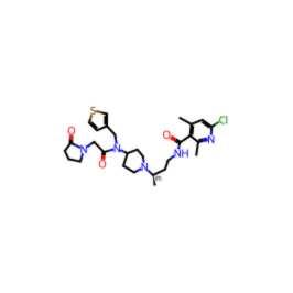 Cc1cc(Cl)nc(C)c1C(=O)NCC[C@@H](C)N1CCC(N(Cc2ccsc2)C(=O)CN2CCCC2=O)CC1